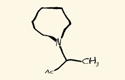 CC(=O)C(C)N1CCCCC1